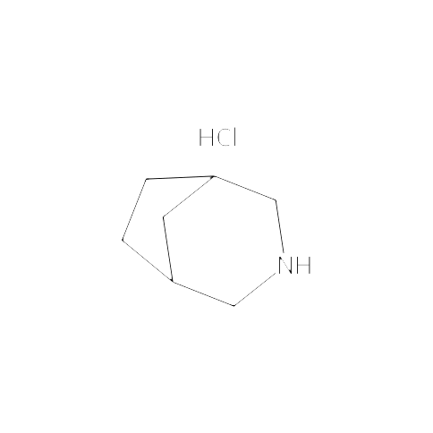 C1CC2CNCC1C2.Cl